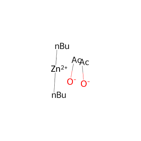 CC(=O)[O-].CC(=O)[O-].CCC[CH2][Zn+2][CH2]CCC